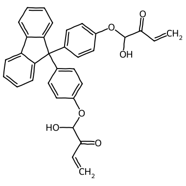 C=CC(=O)C(O)Oc1ccc(C2(c3ccc(OC(O)C(=O)C=C)cc3)c3ccccc3-c3ccccc32)cc1